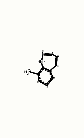 Nc1cccc2c1NN=CC=C2